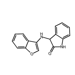 O=C1Nc2ccccc2C1Nc1coc2ccccc12